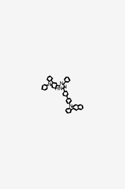 c1ccc(C2=NC(c3ccc4c(c3)c3ccccc3n4-c3ccccc3)NC(c3ccc(-c4ccc(-n5c6ccccc6c6cc7ccccc7cc65)cc4)cc3)=N2)cc1